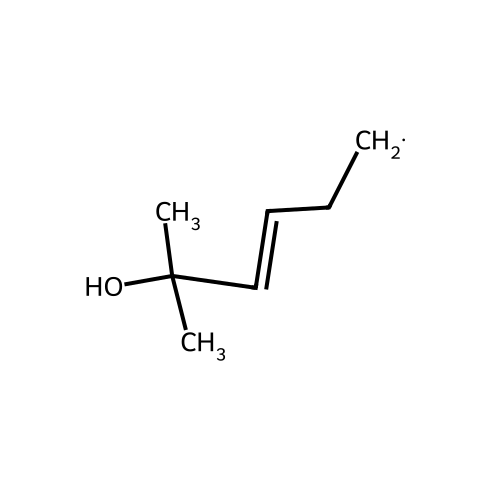 [CH2]CC=CC(C)(C)O